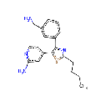 CCCCc1nc(-c2cccc(CN)c2)c(-c2ccnc(N)c2)s1